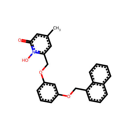 Cc1cc(COc2cccc(OCc3cccc4ccccc34)c2)n(O)c(=O)c1